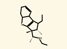 CCN[C@H](C)[C@]1(C)C2=C(C3C=CCCC3S2)C(CC)[C@@H]1C